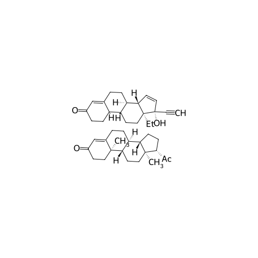 C#C[C@]1(O)C=C[C@H]2[C@@H]3CCC4=CC(=O)CC[C@@H]4[C@H]3CC[C@@]21CC.CC(=O)[C@H]1CC[C@H]2[C@@H]3CCC4=CC(=O)CC[C@]4(C)[C@H]3CC[C@]12C